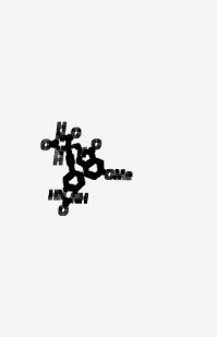 COc1ccc2c(c1)C(=O)N(C[C@@]1(C#Cc3ccc4[nH]c(=O)[nH]c4c3)NC(=O)NC1=O)C2